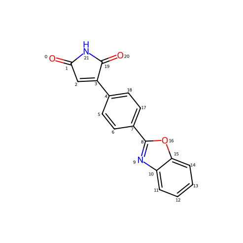 O=C1C=C(c2ccc(-c3nc4ccccc4o3)cc2)C(=O)N1